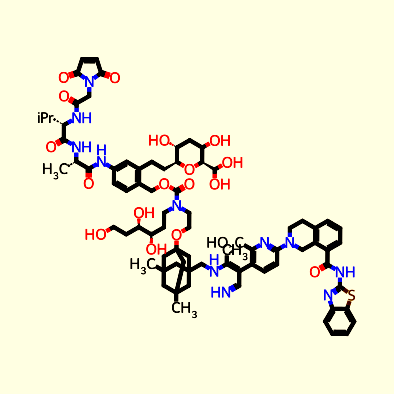 C/C(NCC12CC3(C)CC(C)(C1)CC(OCCN(CC[C@@H](O)[C@H](O)CCO)C(=O)OCc1ccc(NC(=O)[C@H](C)NC(=O)[C@@H](NC(=O)CN4C(=O)C=CC4=O)C(C)C)cc1CC[C@@H]1O[C@H](C(O)O)C(O)C[C@H]1O)(C3)C2)=C(/C=N)c1ccc(N2CCc3cccc(C(=O)Nc4nc5ccccc5s4)c3C2)nc1C(=O)O